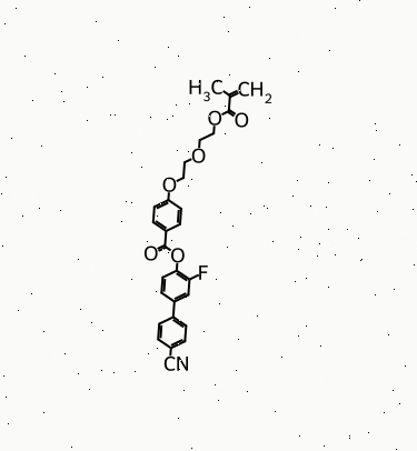 C=C(C)C(=O)OCCOCCOc1ccc(C(=O)Oc2ccc(-c3ccc(C#N)cc3)cc2F)cc1